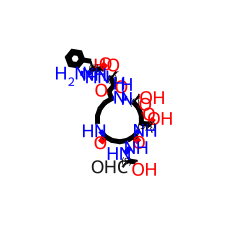 C[C@@H](O)[C@@H]1NC(=O)C(NN[C@H](C=O)CO)CCC(=O)NCCCCC(C(=O)C(=O)[C@H](CO)NC(=O)[C@H](Cc2ccccc2)NN)NN[C@@H](CO)C(=O)C1=O